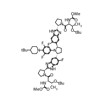 COC(=O)N[C@H](C(=O)N1CCC[C@H]1c1nc2cc([C@H]3CC[C@H](c4cc5nc([C@@H]6CCCN6C(=O)[C@@H](NC(=O)OC)[C@@H](C)OC(C)(C)C)[nH]c5cc4F)N3c3cc(F)c(N4CCC(C(C)(C)C)CC4)c(F)c3)c(F)cc2[nH]1)[C@@H](C)OC(C)(C)C